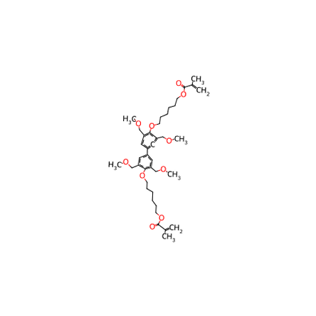 C=C(C)C(=O)OCCCCCCOc1c(COC)cc(-c2cc(COC)c(OCCCCCCOC(=O)C(=C)C)c(COC)c2)cc1COC